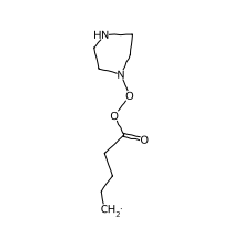 [CH2]CCCC(=O)OON1CCNCC1